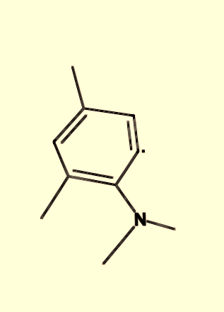 Cc1c[c]c(N(C)C)c(C)c1